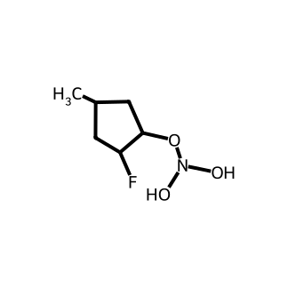 CC1CC(F)C(ON(O)O)C1